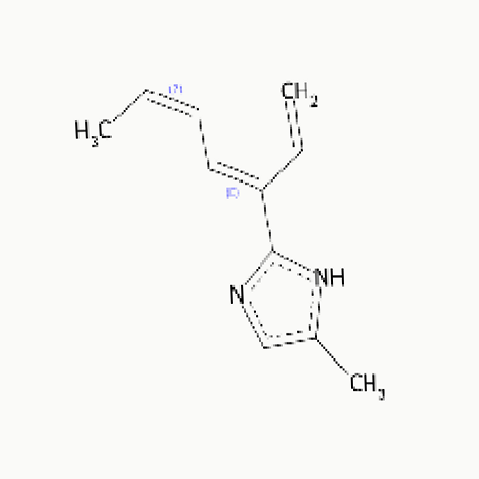 C=C/C(=C\C=C/C)c1ncc(C)[nH]1